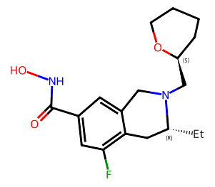 CC[C@@H]1Cc2c(F)cc(C(=O)NO)cc2CN1C[C@@H]1CCCCO1